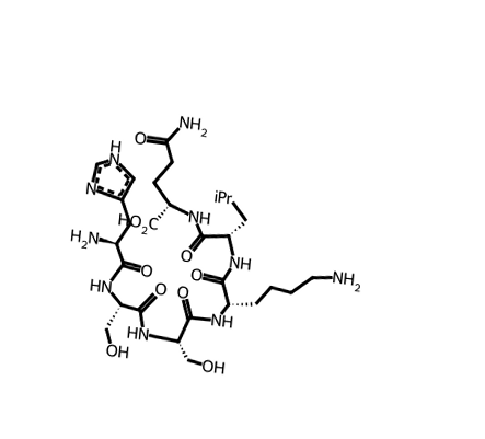 CC(C)C[C@H](NC(=O)[C@H](CCCCN)NC(=O)[C@H](CO)NC(=O)[C@H](CO)NC(=O)[C@@H](N)Cc1c[nH]cn1)C(=O)N[C@@H](CCC(N)=O)C(=O)O